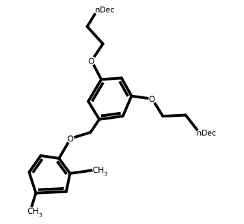 CCCCCCCCCCCCOc1cc(COc2ccc(C)cc2C)cc(OCCCCCCCCCCCC)c1